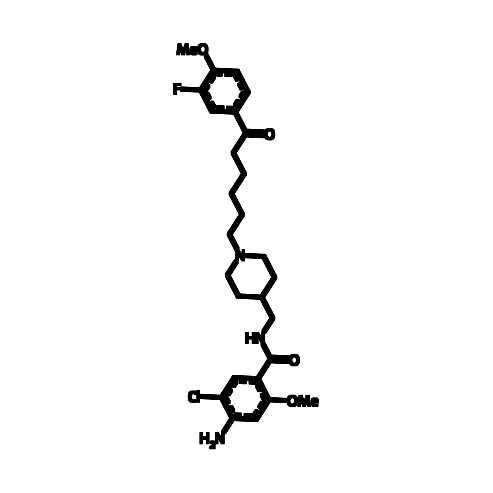 COc1ccc(C(=O)CCCCCN2CCC(CNC(=O)c3cc(Cl)c(N)cc3OC)CC2)cc1F